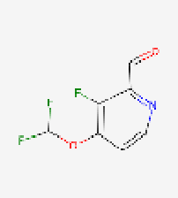 O=Cc1nccc(OC(F)F)c1F